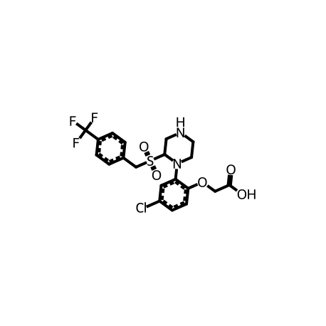 O=C(O)COc1ccc(Cl)cc1N1CCNCC1S(=O)(=O)Cc1ccc(C(F)(F)F)cc1